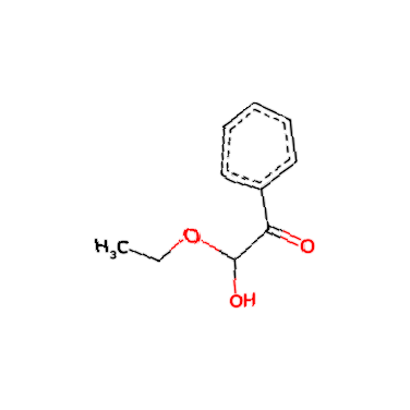 CCOC(O)C(=O)c1ccccc1